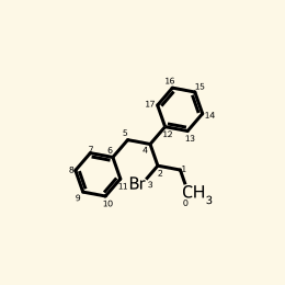 CCC(Br)C(Cc1ccccc1)c1ccccc1